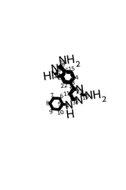 Nc1nc(NC2CCCCC2)cc(-c2ccc3c(N)n[nH]c3c2)n1